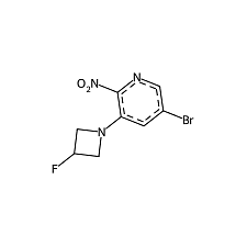 O=[N+]([O-])c1ncc(Br)cc1N1CC(F)C1